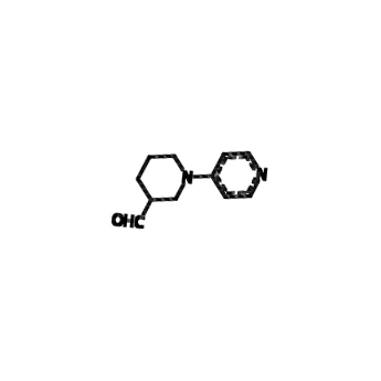 O=CC1CCCN(c2ccncc2)C1